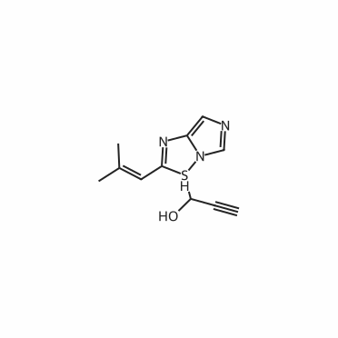 C#CC(O)[SH]1C(C=C(C)C)=Nc2cncn21